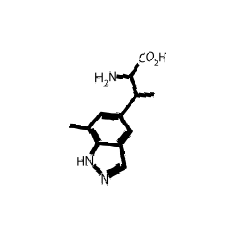 Cc1cc(C(C)C(N)C(=O)O)cc2cn[nH]c12